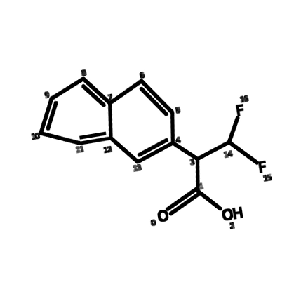 O=C(O)C(c1ccc2ccccc2c1)C(F)F